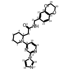 O=C(CC1CCCCN1c1ccnc(-n2ccnc2)n1)NCc1ccc2c(c1)OCCO2